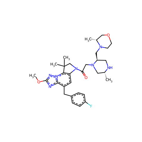 COc1nc2c(Cc3ccc(F)cc3)cc3c(n2n1)C(C)(C)CN3C(=O)CN1C[C@@H](C)NC[C@@H]1CN1CCOC[C@H]1C